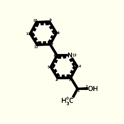 CC(O)c1ccc(-c2ccccc2)nc1